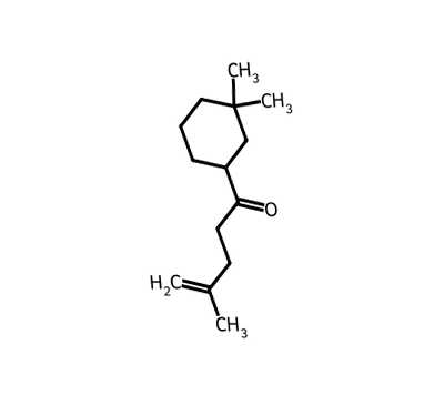 C=C(C)CCC(=O)C1CCCC(C)(C)C1